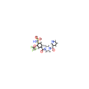 O=C(c1cccnc1)N1CCN(C(=O)c2ccc(N[SH](=O)=O)c(OC(F)(F)F)c2)CC1